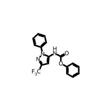 O=C(Nc1cc(C(F)(F)F)nn1-c1ccccc1)Oc1ccccc1